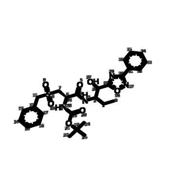 CCC(NC(=O)[C@H](CS(=O)(=O)Cc1ccccc1)NC(=O)OC(C)(C)C)C(O)c1nc(-c2ccccc2)no1